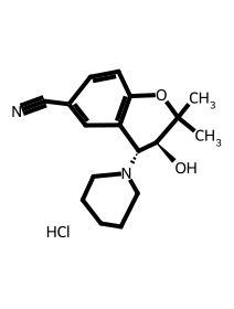 CC1(C)Oc2ccc(C#N)cc2[C@@H](N2CCCCC2)[C@@H]1O.Cl